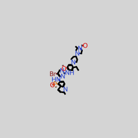 CCc1cc(Nc2ncc(Br)c(Nc3ccc4nc(C)ccc4c3P(C)(C)=O)n2)c(OC)cc1N1CCC(N2CCN(C=O)C(C)C2)CC1